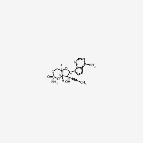 CC#C[C@]1(O)[C@H](n2ccc3c(N)ncnc32)O[C@]2(F)COP(N)(=O)O[C@@H]12